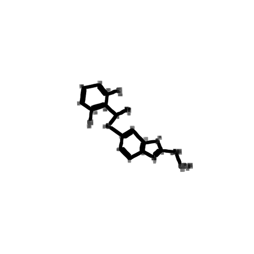 CCC(Oc1ccc2nc(NC(=O)O)sc2c1)c1c(Cl)cccc1Cl